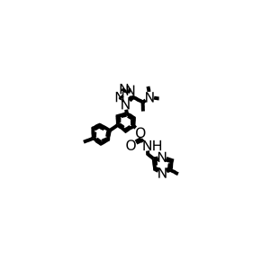 Cc1ccc(-c2cc(OC(=O)NCc3cnc(C)cn3)cc(-n3nnnc3C(C)N(C)C)c2)cc1